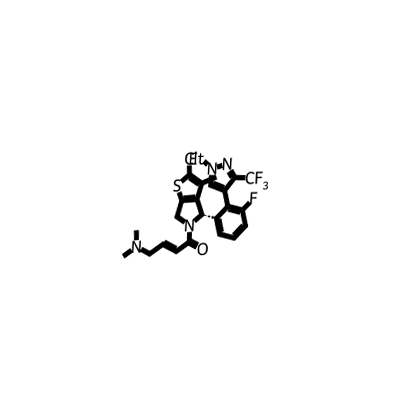 CCn1cc(-c2c(F)cccc2[C@H]2c3c(sc(Cl)c3C)CN2C(=O)/C=C/CN(C)C)c(C(F)(F)F)n1